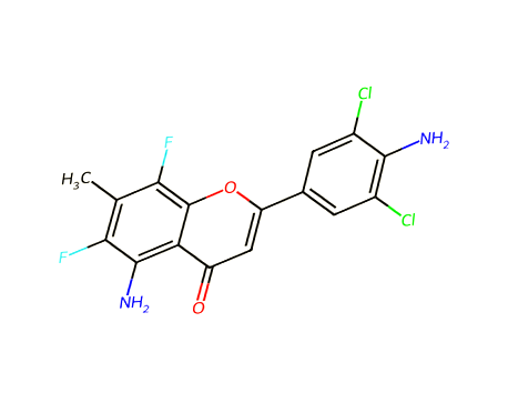 Cc1c(F)c(N)c2c(=O)cc(-c3cc(Cl)c(N)c(Cl)c3)oc2c1F